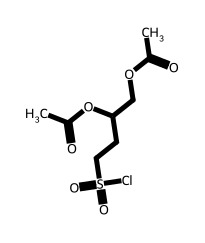 CC(=O)OCC(CCS(=O)(=O)Cl)OC(C)=O